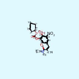 CCN(CC)C(=O)C(C#N)=Cc1cc(OC(=O)OC2CCCCC2)c(O)c([N+](=O)[O-])c1